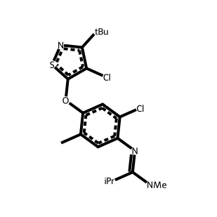 CNC(=Nc1cc(C)c(Oc2snc(C(C)(C)C)c2Cl)cc1Cl)C(C)C